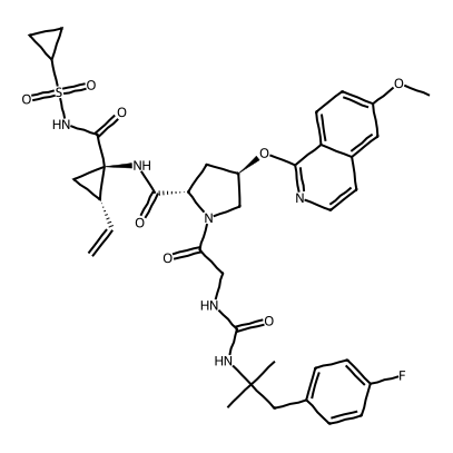 C=C[C@@H]1C[C@]1(NC(=O)[C@@H]1C[C@@H](Oc2nccc3cc(OC)ccc23)CN1C(=O)CNC(=O)NC(C)(C)Cc1ccc(F)cc1)C(=O)NS(=O)(=O)C1CC1